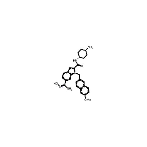 COc1ccc2cc(Cn3c(C(=O)N[C@H]4CC[C@H](N)CC4)cc4ccc(/C(N)=N\O)cc43)ccc2c1